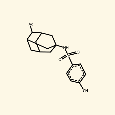 CC(=O)C1C2CC3CC1CC(NS(=O)(=O)c1ccc(C#N)cc1)(C3)C2